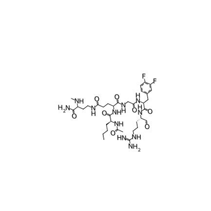 CCCC[C@H](NC(C)=O)C(=O)NC(CCC(=O)NCCC(NC)C(N)=O)C(=O)NCC(=O)NC(Cc1ccc(F)c(F)c1)C(=O)N[C@H](C=O)CCCNC(=N)N